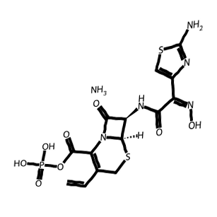 C=CC1=C(C(=O)OP(=O)(O)O)N2C(=O)[C@@H](NC(=O)/C(=N\O)c3csc(N)n3)[C@H]2SC1.N